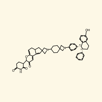 O=C1CCC(C2OC3=CCC4CC5(C=C4C3=CC2=O)CN(C2CCC3(CC2)CN(c2ccc([C@@H]4c6ccc(O)cc6CC[C@@H]4c4ccccc4)cc2)C3)C5)C(=O)N1